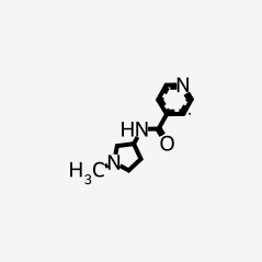 CN1CCC(NC(=O)c2[c]cncc2)C1